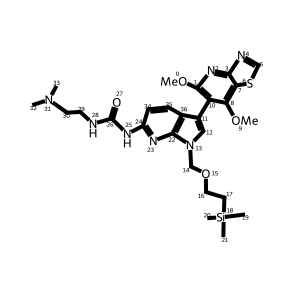 COc1nc2ncsc2c(OC)c1-c1cn(COCC[Si](C)(C)C)c2nc(NC(=O)NCCN(C)C)ccc12